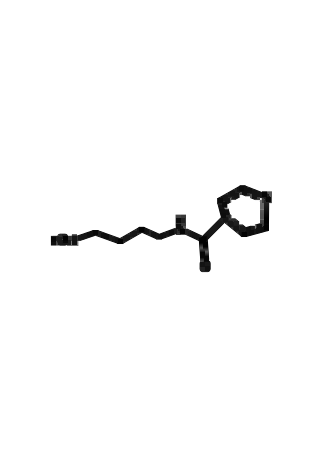 CCCCCCCCCCCCNC(=O)c1ccncc1